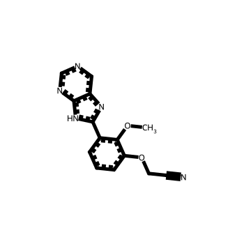 COc1c(OCC#N)cccc1-c1nc2cncnc2[nH]1